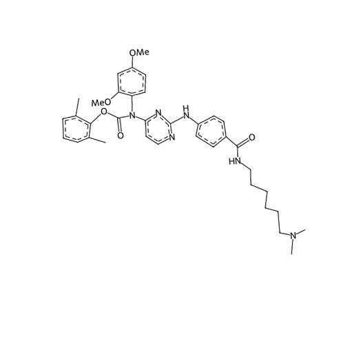 COc1ccc(N(C(=O)Oc2c(C)cccc2C)c2ccnc(Nc3ccc(C(=O)NCCCCCCN(C)C)cc3)n2)c(OC)c1